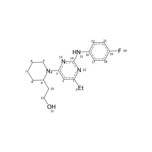 CCc1cc(N2CCCCC2CCO)nc(Nc2ccc(F)cc2)n1